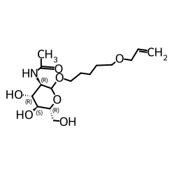 C=CCOCCCCCOC1O[C@H](CO)[C@@H](O)[C@H](O)[C@H]1NC(C)=O